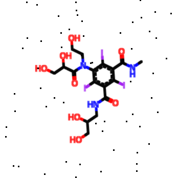 CNC(=O)c1c(I)c(C(=O)NCC(O)CO)c(I)c(N(CCO)C(=O)C(O)CO)c1I